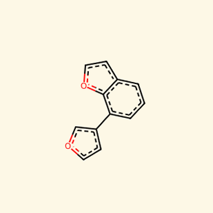 c1cc(-c2ccoc2)c2occc2c1